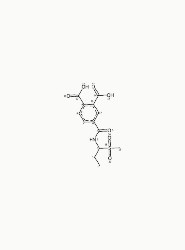 CCC(NC(=O)c1ccc(C(=O)O)c(C(=O)O)c1)S(C)(=O)=O